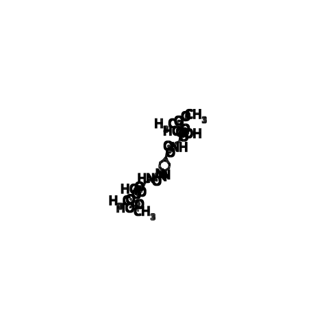 COC[C@H]1O[C@@H](C)C(O)[C@H]1OP(=O)(O)OCCCNC(=O)OCC1C2CCc3nnn(CC(=O)NCCCOP(=O)(O)OC[C@H]4O[C@@H](C)C(O)[C@H]4OC)c3CCC21